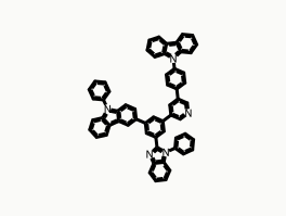 c1ccc(-n2c(-c3cc(-c4cncc(-c5ccc(-n6c7ccccc7c7ccccc76)cc5)c4)cc(-c4ccc5c(c4)c4ccccc4n5-c4ccccc4)c3)nc3ccccc32)cc1